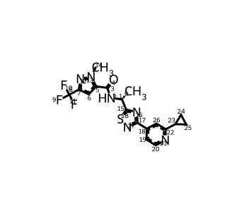 C[C@H](NC(=O)c1cc(C(F)(F)F)nn1C)c1nc(-c2ccnc(C3CC3)c2)ns1